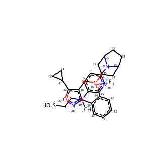 O=CN(CCS(=O)(=O)O)c1ccc(N2C3CCC2CC(OCc2c(-c4ccccc4OC(F)(F)F)noc2C2CC2)C3)nc1